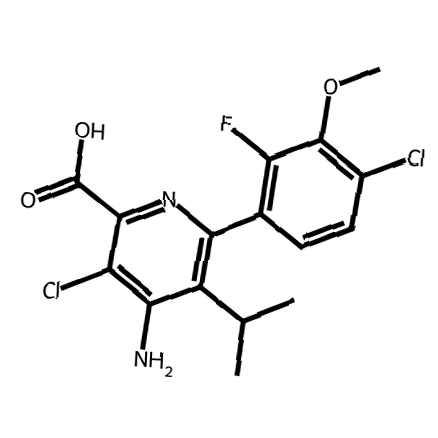 COc1c(Cl)ccc(-c2nc(C(=O)O)c(Cl)c(N)c2C(C)C)c1F